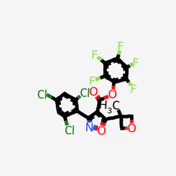 CC1(c2onc(-c3c(Cl)cc(Cl)cc3Cl)c2C(=O)Oc2c(F)c(F)c(F)c(F)c2F)COC1